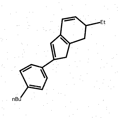 CCCCc1ccc(C2=CC3=C(C2)CC(CC)C=C3)cc1